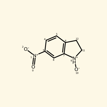 O=[N+]([O-])c1ccc2c(c1)[NH+]([O-])CC2